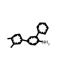 Cc1ccc(-c2ccc(N)c(-c3ccccc3)c2)cc1C